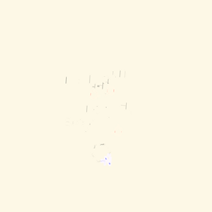 CCOC(=O)C1C(c2cccnc2)OCC1C(C)(C)C(O[SiH2]C)O[SiH2]C